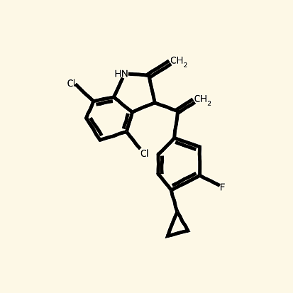 C=C1Nc2c(Cl)ccc(Cl)c2C1C(=C)c1ccc(C2CC2)c(F)c1